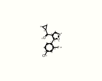 O=C(c1cnoc1-c1ccc(Cl)cc1F)C1CC1